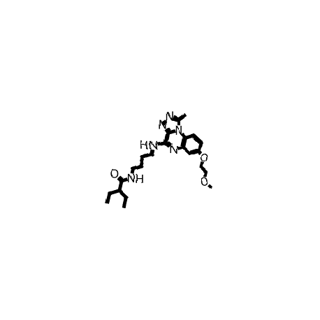 CCC(CC)C(=O)NCCCCNc1nc2cc(OCCOC)ccc2n2c(C)nnc12